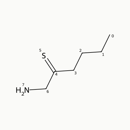 CCCCC(=S)CN